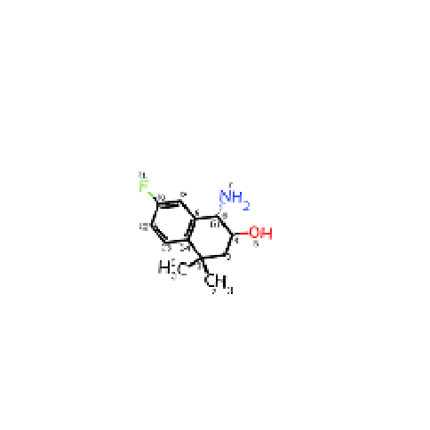 CC1(C)CC(O)[C@@H](N)c2cc(F)ccc21